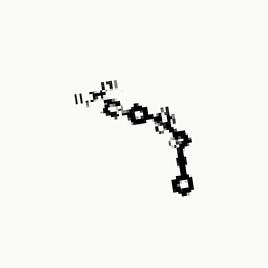 CN(C)C1CCN(c2ccc(-c3nnc(-c4ccc(C#Cc5ccccc5)o4)o3)cc2)C1